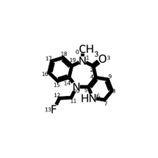 CN1C(=O)C2=C(NCC=C2)N(CCF)c2ccccc21